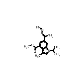 COC(=O)c1cc(/C(N)=N/N=N)cc2c1c(C)cn2C(C)C